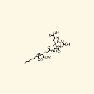 CCCCCCC(=O)N[C@H](CCC(=O)N[C@H](CSC[C@H](N)C(=O)O)C(=O)NCC(=O)O)C(=O)O